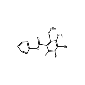 CCCCOc1c(N)c(Br)c(F)c(C)c1C(=O)Oc1ccccc1